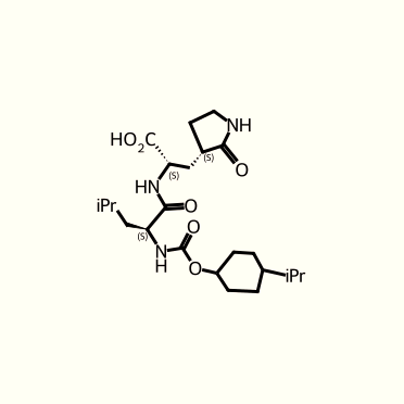 CC(C)C[C@H](NC(=O)OC1CCC(C(C)C)CC1)C(=O)N[C@@H](C[C@@H]1CCNC1=O)C(=O)O